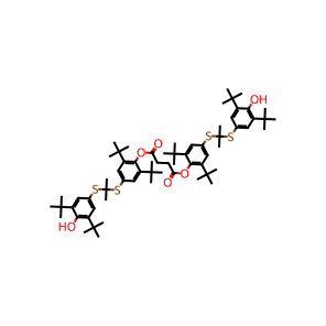 CC(C)(Sc1cc(C(C)(C)C)c(O)c(C(C)(C)C)c1)Sc1cc(C(C)(C)C)c(OC(=O)CCC(=O)Oc2c(C(C)(C)C)cc(SC(C)(C)Sc3cc(C(C)(C)C)c(O)c(C(C)(C)C)c3)cc2C(C)(C)C)c(C(C)(C)C)c1